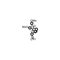 CCC(=O)[Si](C)(C)c1ccc(C(=O)O)c(-c2ccc3cccc4c3c2C=C(c2ccc(OC)cc2)C4C(=O)Oc2ccc(OC)cc2)c1